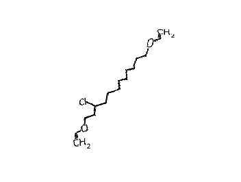 C=COCCCCCCCCCC(Cl)CCOC=C